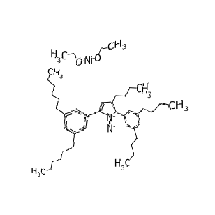 CCCCCCc1cc(CCCCCC)cc(C2=CC(CCCC)=C(c3cc(CCCC)cc(CCCC)c3)[N+]2=[N-])c1.CC[O][Ni][O]CC